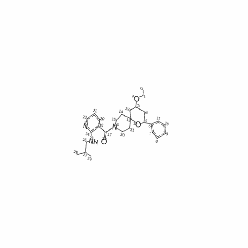 CCOC1CC(c2ccccc2)OC2(CCN(C(=O)c3cccnc3NCC(C)C)CC2)C1